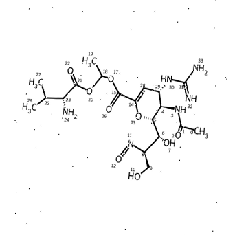 CC(=O)N[C@H]1[C@H]([C@H](O)[C@@H](CO)N=O)OC(C(=O)OC(C)OC(=O)[C@H](N)C(C)C)=C[C@@H]1NC(=N)N